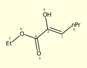 CCC/C=C(\O)C(=O)OCC